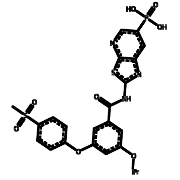 CC(C)Oc1cc(Oc2ccc(S(C)(=O)=O)cc2)cc(C(=O)Nc2nc3cc(P(=O)(O)O)cnc3s2)c1